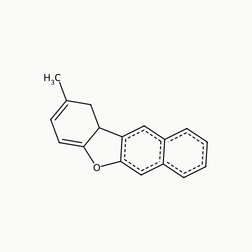 CC1=CC=C2Oc3cc4ccccc4cc3C2C1